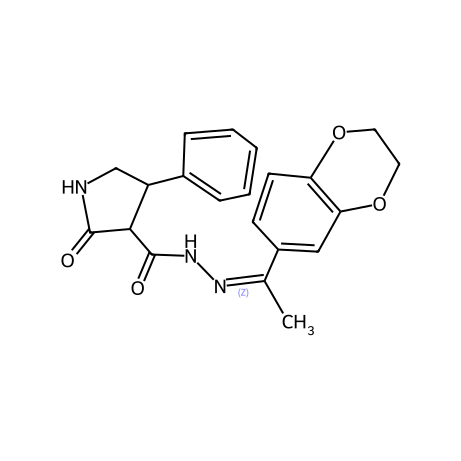 C/C(=N/NC(=O)C1C(=O)NCC1c1ccccc1)c1ccc2c(c1)OCCO2